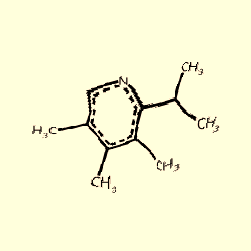 Cc1cnc(C(C)C)c(C)c1C